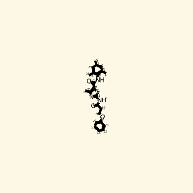 Cc1cc(C)c(NC(=O)c2sc(NC(=O)CCOc3ccccc3)nc2C)c(C)c1